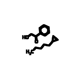 CCCCCC1CC1.O=C(CO)c1ccccc1